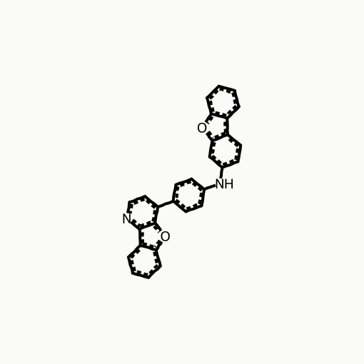 c1ccc2c(c1)oc1cc(Nc3ccc(-c4ccnc5c4oc4ccccc45)cc3)ccc12